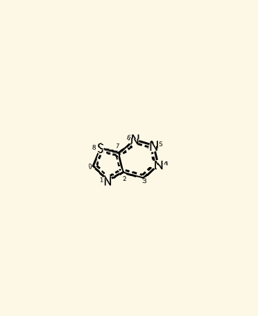 c1nc2cnnnc2s1